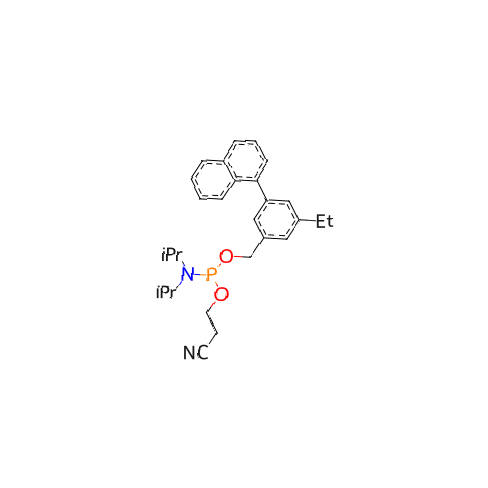 CCc1cc(COP(OCCC#N)N(C(C)C)C(C)C)cc(-c2cccc3ccccc23)c1